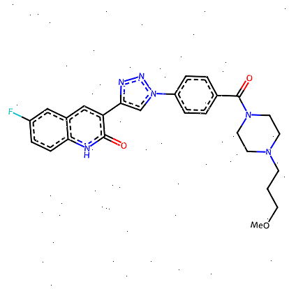 COCCCN1CCN(C(=O)c2ccc(-n3cc(-c4cc5cc(F)ccc5[nH]c4=O)nn3)cc2)CC1